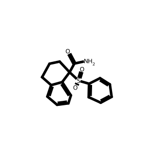 NC(=O)C1(S(=O)(=O)c2ccccc2)CCCc2ccccc21